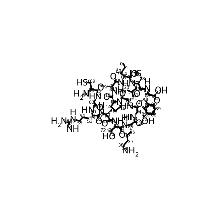 CC[C@H](C)[C@H](NC(=O)[C@H](C)NC(=O)[C@@H]1CCCN1C(=O)[C@H](CC(C)C)NC(=O)[C@H](CO)NC(=O)[C@H](CCCCN)NC(=O)[C@@H](NC(=O)[C@H](C)NC(=O)[C@H](CCCNC(=N)N)NC(=O)CNC(=O)[C@@H](N)CS)[C@@H](C)O)C(=O)N[C@@H](CS)C(=O)N[C@@H](Cc1ccccc1)C(=O)O